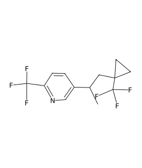 CC(CC1(C(F)(F)F)CC1)c1ccc(C(F)(F)F)nc1